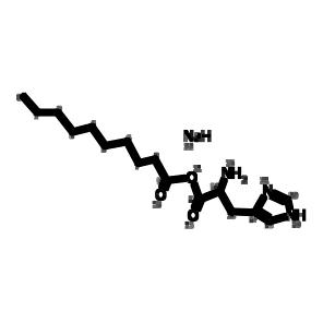 CCCCCCCCCC(=O)OC(=O)C(N)Cc1c[nH]cn1.[NaH]